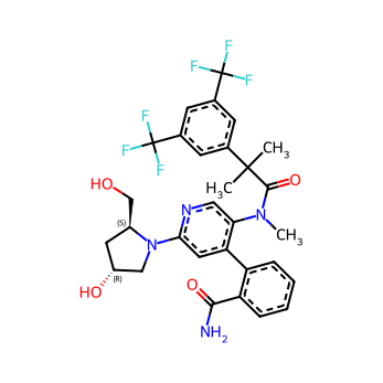 CN(C(=O)C(C)(C)c1cc(C(F)(F)F)cc(C(F)(F)F)c1)c1cnc(N2C[C@H](O)C[C@H]2CO)cc1-c1ccccc1C(N)=O